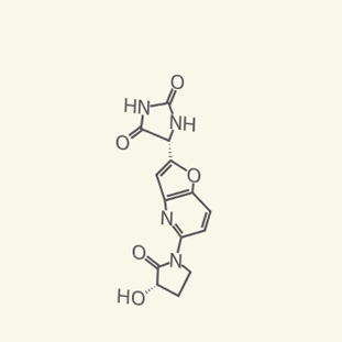 O=C1NC(=O)[C@@H](c2cc3nc(N4CC[C@H](O)C4=O)ccc3o2)N1